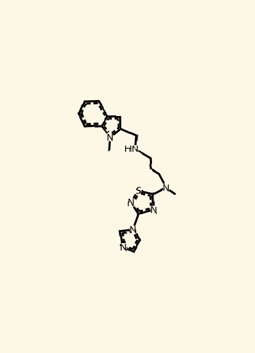 CN(CCCNCc1cc2ccccc2n1C)c1nc(-n2ccnc2)ns1